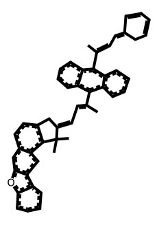 C/C(=C\C=C1\C=CC=CC1)c1c2ccccc2c(/C(C)=C/C=C2\Cc3ccc4cc5oc6ccccc6c5cc4c3C2(C)C)c2ccccc12